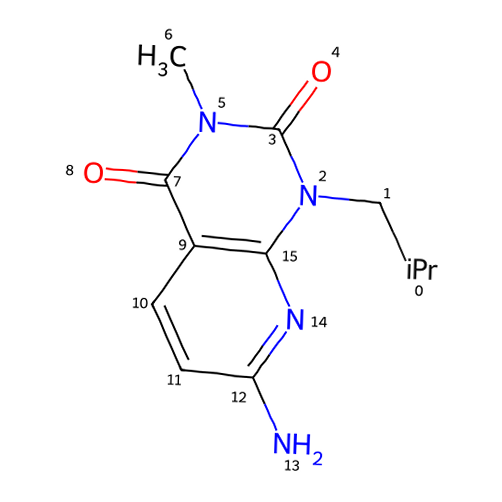 CC(C)Cn1c(=O)n(C)c(=O)c2ccc(N)nc21